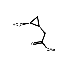 COC(=O)C[C@@H]1C[C@@H]1C(=O)O